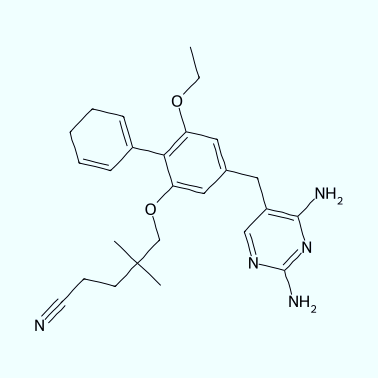 CCOc1cc(Cc2cnc(N)nc2N)cc(OCC(C)(C)CCC#N)c1C1=CCCC=C1